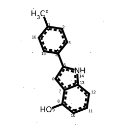 Cc1ccc(-c2cc3c(O)cccc3[nH]2)cc1